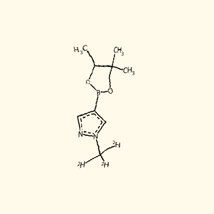 [2H]C([2H])([2H])n1cc(B2OC(C)C(C)(C)O2)cn1